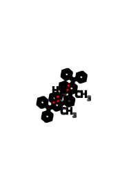 Cc1cc(C(c2ccccc2)c2ccccc2)cc(C)c1-c1cccc(-c2c(C)cc(C(c3ccccc3)c3ccccc3)cc2C)c1P(c1ccccc1)c1ccccc1